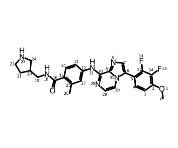 COc1ccc(-c2cnc3c(Nc4ccc(C(=O)NCC5CCNC5)c(C)c4)nccn23)c(F)c1F